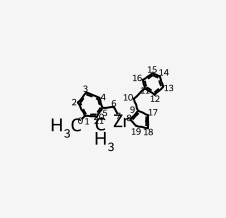 Cc1cccc([CH2][Zr][C]2=C(Cc3ccccc3)C=CC2)c1C